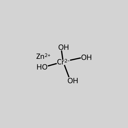 [OH][Cr-2]([OH])([OH])[OH].[Zn+2]